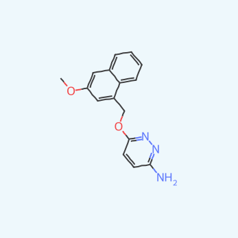 COc1cc(COc2ccc(N)nn2)c2ccccc2c1